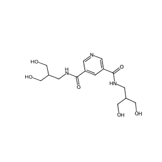 O=C(NCC(CO)CO)c1cncc(C(=O)NCC(CO)CO)c1